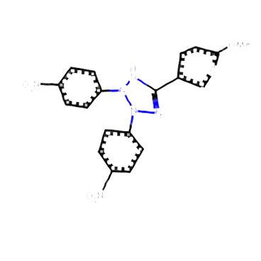 COc1ccc(C2=NN(c3ccc([N+](=O)[O-])cc3)N(c3ccc([N+](=O)[O-])cc3)N2)cc1